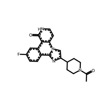 CC(=O)N1CCC(c2cn3c4cc[nH]c(=O)c4c4cc(F)ccc4c3n2)CC1